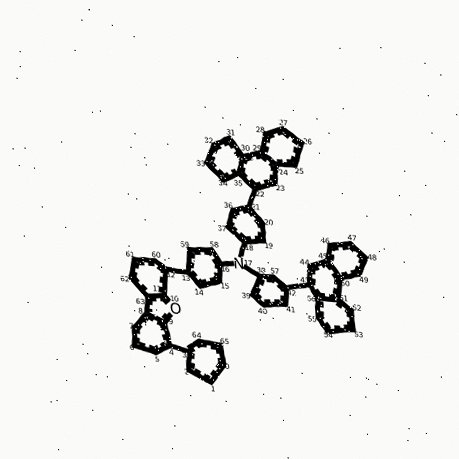 c1ccc(-c2cccc3c2oc2c(-c4ccc(N(c5ccc(-c6cc7ccccc7c7ccccc67)cc5)c5cccc(-c6cc7ccccc7c7ccccc67)c5)cc4)cccc23)cc1